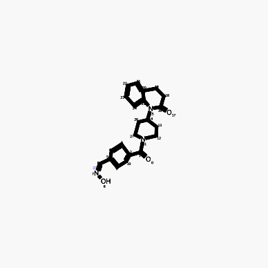 O=C(c1ccc(/C=N\O)cc1)N1CCC(N2C(=O)CCc3ccccc32)CC1